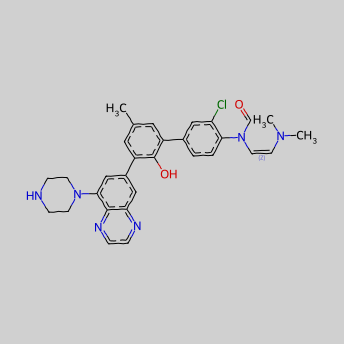 Cc1cc(-c2ccc(N(C=O)/C=C\N(C)C)c(Cl)c2)c(O)c(-c2cc(N3CCNCC3)c3nccnc3c2)c1